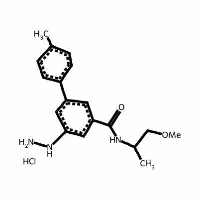 COCC(C)NC(=O)c1cc(NN)cc(-c2ccc(C)cc2)c1.Cl